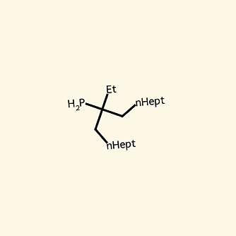 CCCCCCCCC(P)(CC)CCCCCCCC